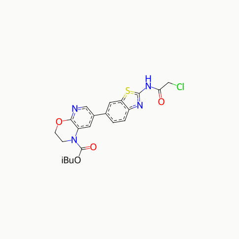 CC(C)COC(=O)N1CCOc2ncc(-c3ccc4nc(NC(=O)CCl)sc4c3)cc21